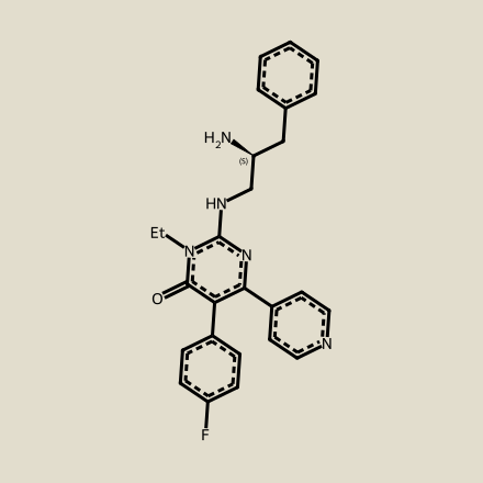 CCn1c(NC[C@@H](N)Cc2ccccc2)nc(-c2ccncc2)c(-c2ccc(F)cc2)c1=O